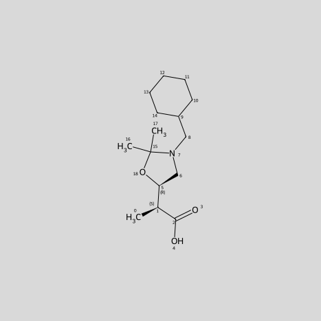 C[C@H](C(=O)O)[C@@H]1CN(CC2CCCCC2)C(C)(C)O1